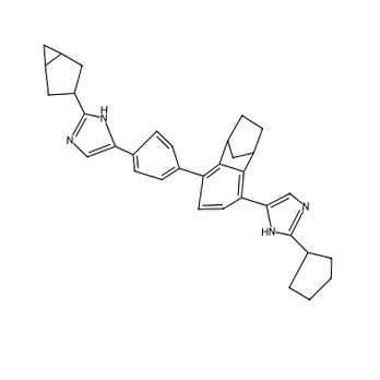 c1cc(-c2ccc(-c3cnc(C4CCCC4)[nH]3)c3c2C2CCC3C2)ccc1-c1cnc(C2CC3CC3C2)[nH]1